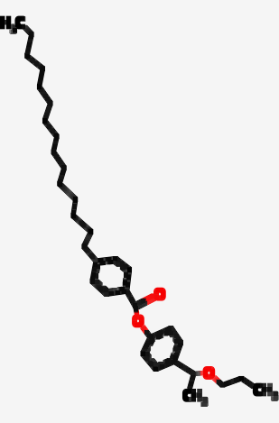 CCCCCCCCCCCCCCCc1ccc(C(=O)Oc2ccc(C(C)OCCC)cc2)cc1